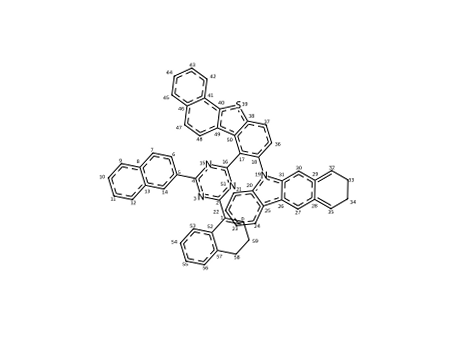 C1=C(c2nc(-c3ccc4ccccc4c3)nc(-c3c(-n4c5ccccc5c5cc6c(cc54)=CCCC=6)ccc4sc5c6ccccc6ccc5c34)n2)c2ccccc2CC1